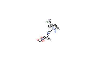 C=C1CN([C@H]2C(C)(C)[C@H](CCc3ccc(C#N)c(Cl)c3)C2(C)C)CC(C#CC2CCN(CC3CCC(C(C)c4ccc5c(c4)C(=O)N(C4CCC(=O)CCCC4=O)C5=O)C3)CC2)CN1